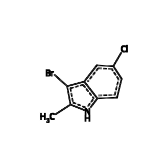 Cc1[nH]c2ccc(Cl)cc2c1Br